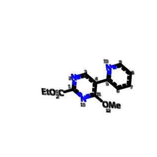 CCOC(=O)c1ncc(-c2ccccn2)c(OC)n1